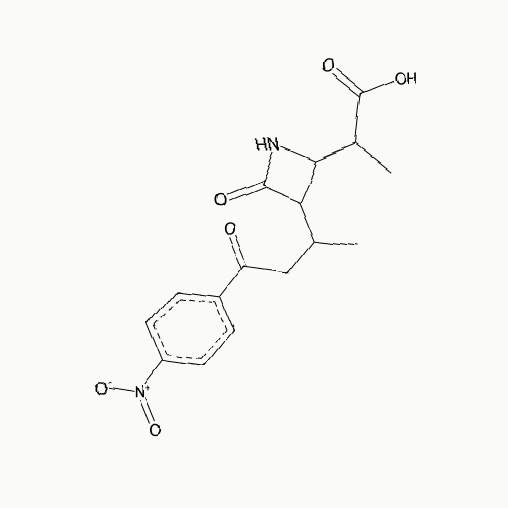 CC(CC(=O)c1ccc([N+](=O)[O-])cc1)C1C(=O)NC1C(C)C(=O)O